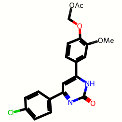 COc1cc(-c2cc(-c3ccc(Cl)cc3)nc(=O)[nH]2)ccc1OCOC(C)=O